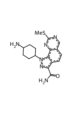 CSc1ncc2ccc3c(C(N)=O)nn(C4CCC(N)CC4)c3c2n1